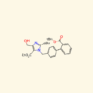 CCCCc1nc(CO)c(C(=O)OCC)n1Cc1ccc(-c2ccccc2C(=O)OC(C)(C)C)cc1